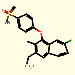 C=S(=O)(CCC)c1ccc(Oc2c(C)c(CC(=O)O)cc3ccc(F)cc23)cc1